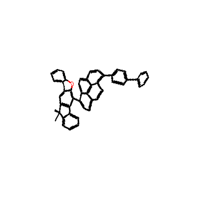 CC1(C)c2ccccc2-c2c1cc1c(oc3ccccc31)c2-c1ccc2ccc3c(-c4ccc(-c5ccccc5)cc4)ccc4ccc1c2c43